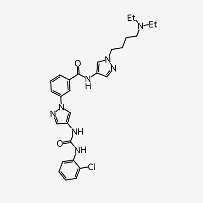 CCN(CC)CCCCn1cc(NC(=O)c2cccc(-n3cc(NC(=O)Nc4ccccc4Cl)cn3)c2)cn1